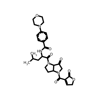 CC(C)CC(NC(=O)c1ccc(N2CCOCC2)cc1)C(=O)N1CCC2C1C(=O)CN2C(=O)C1=CCOC1=O